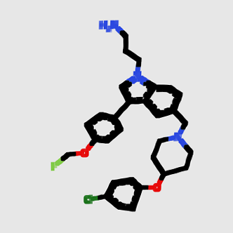 NCCCn1cc(-c2ccc(OCF)cc2)c2cc(CN3CCC(Oc4ccc(Cl)cc4)CC3)ccc21